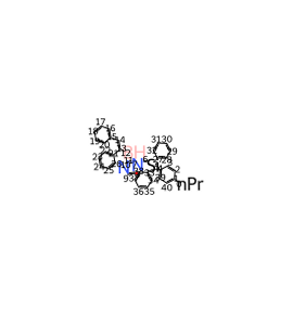 CCCc1ccc([Si](Cn2ccnc2BC(=Cc2ccccc2)c2ccccc2)(c2ccccc2)c2ccccc2)cc1